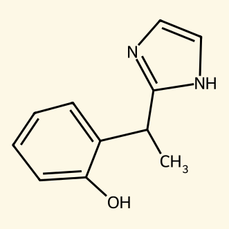 CC(c1ncc[nH]1)c1ccccc1O